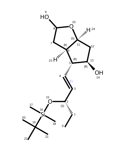 CC[C@@H](/C=C/[C@@H]1[C@H]2CC(O)O[C@H]2C[C@H]1O)O[Si](C)(C)C(C)(C)C